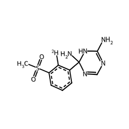 [2H]c1c(C2(N)N=CN=C(N)N2)cccc1S(C)(=O)=O